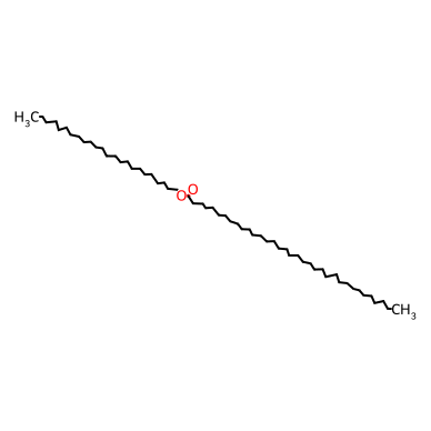 CCCCCCCCCCCCCCCCCCCCCCCCCCCCCCCCCCC(=O)OCCCCCCCCCCCCCCCCCCCCCCCC